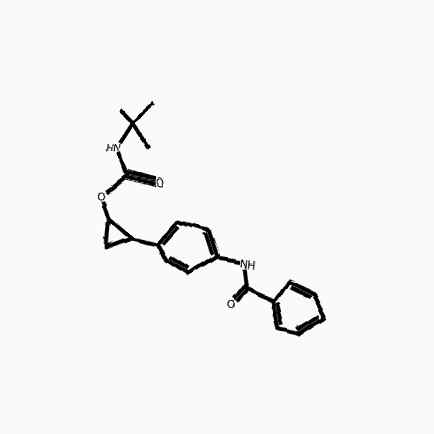 CC(C)(C)NC(=O)OC1CC1c1ccc(NC(=O)c2ccccc2)cc1